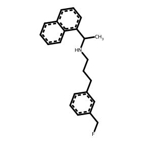 CC(NCCCc1cccc(CF)c1)c1cccc2ccccc12